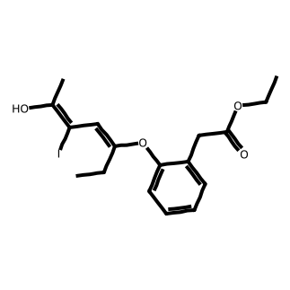 CCOC(=O)Cc1ccccc1O/C(=C/C(I)=C(\C)O)CC